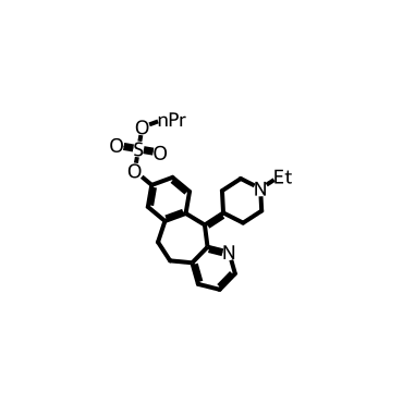 CCCOS(=O)(=O)Oc1ccc2c(c1)CCc1cccnc1C2=C1CCN(CC)CC1